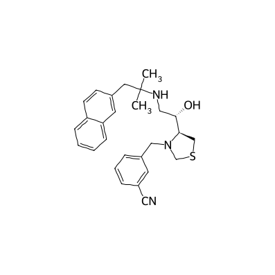 CC(C)(Cc1ccc2ccccc2c1)NC[C@H](O)[C@H]1CSCN1Cc1cccc(C#N)c1